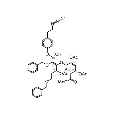 COC(=O)C[C@H](/C=C(/OC(C)=O)[C@@H](O)O/C(=C(/OCc1ccccc1)[C@@H](O)Oc1ccc(CCN=[N+]=[N-])cc1)[C@H](CCOCc1ccccc1)OC(C)=O)OC(C)=O